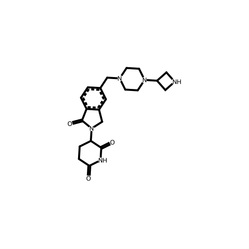 O=C1CCC(N2Cc3cc(CN4CCN(C5CNC5)CC4)ccc3C2=O)C(=O)N1